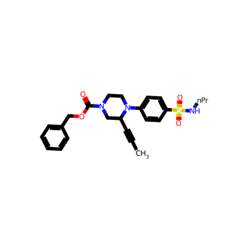 CC#CC1CN(C(=O)OCc2ccccc2)CCN1c1ccc(S(=O)(=O)NCCC)cc1